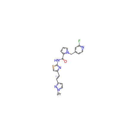 CC(C)n1ccc(/C=C/c2csc(NC(=O)c3cccn3Cc3ccnc(F)c3)n2)n1